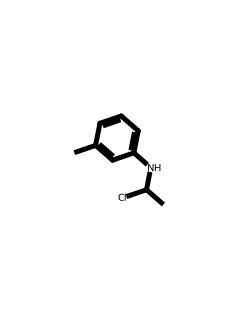 Cc1cccc(NC(C)Cl)c1